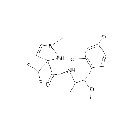 COC(c1ccc(Cl)cc1Cl)C(C)NC(=O)C1(C(F)F)C=CN(C)N1